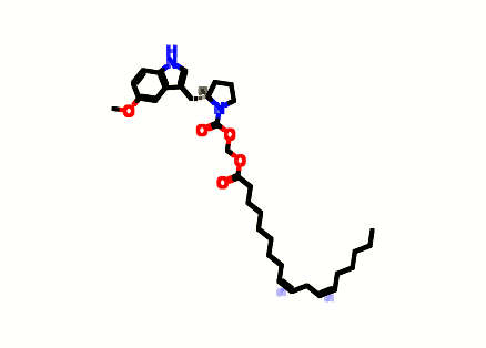 CCCCC/C=C\C/C=C\CCCCCCCC(=O)OCOC(=O)N1CCC[C@H]1Cc1c[nH]c2ccc(OC)cc12